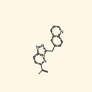 C=C(C)c1ccc2nnc(Cc3ccc4ncccc4c3)n2n1